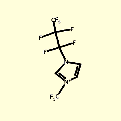 FC(F)(F)[n+]1ccn(C(F)(F)C(F)(F)C(F)(F)F)c1